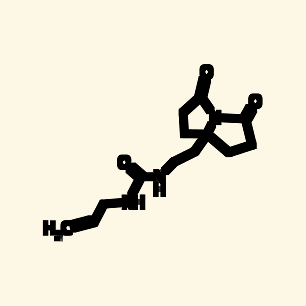 C=CCNC(=O)NCCC12CCC(=O)N1C(=O)CC2